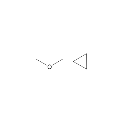 C1CC1.COC